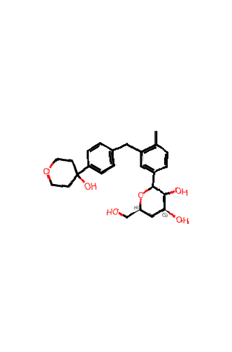 Cc1ccc(C2O[C@H](CO)C[C@H](O)C2O)cc1Cc1ccc(C2(O)CCOCC2)cc1